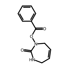 O=C(ON1CC=CCNC1=O)c1ccccc1